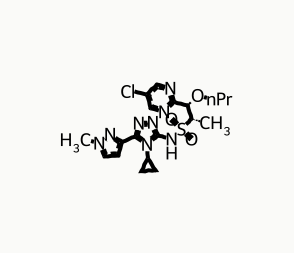 CCCO[C@@H](c1ncc(Cl)cn1)[C@H](C)S(=O)(=O)Nc1nnc(-c2ccn(C)n2)n1C1CC1